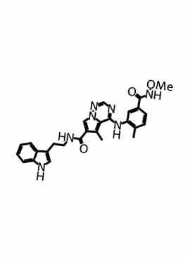 CONC(=O)c1ccc(C)c(Nc2ncnn3cc(C(=O)NCCc4c[nH]c5ccccc45)c(C)c23)c1